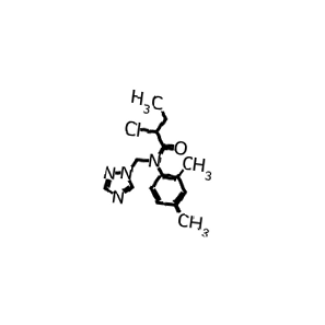 CCC(Cl)C(=O)N(Cn1cncn1)c1ccc(C)cc1C